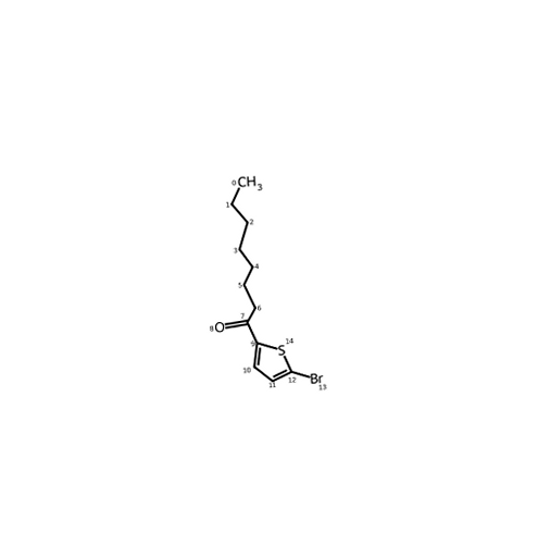 CCCCCCCC(=O)c1ccc(Br)s1